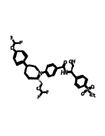 CCS(=O)(=O)c1ccc([C@H](CO)NC(=O)c2ccc(N3CC(c4ccc(OC(F)F)cc4)CC[C@H]3COC(F)F)cc2)cc1